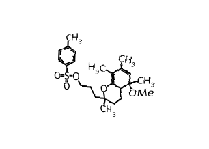 COC1(C)C=C(C)C(C)=C2OC(C)(CCCOS(=O)(=O)c3ccc(C)cc3)CCC21